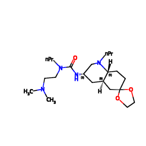 CCCN(CCN(C)C)C(=O)N[C@H]1C[C@@H]2CC3(CC[C@H]2N(CCC)C1)OCCO3